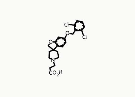 O=C(O)CCN1CCC2(CC1)COc1cc(OCc3c(Cl)cccc3Cl)ccc12